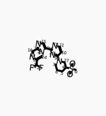 CS(=O)(=O)C1CCCN(c2ccnc(-c3cnc4cnc(C(F)F)cn34)n2)C1